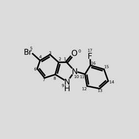 O=c1c2cc(Br)ccc2[nH]n1-c1ccccc1F